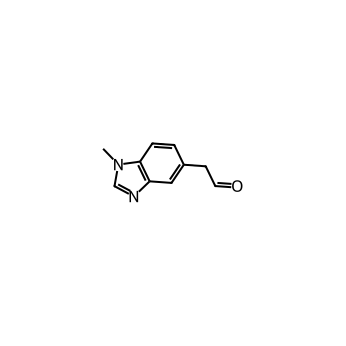 Cn1cnc2cc(CC=O)ccc21